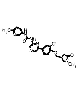 Cc1ccc(NC(=O)Nc2cncc(-c3ccc(OCC4CC(=O)N(C)C4)c(Cl)c3)n2)cn1